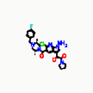 C[C@@H]1CN(Cc2ccc(F)cc2)[C@@H](C)CN1C(=O)c1cc2c(C(=O)C(=O)N3CCCC3)cn(N)c2nc1Cl